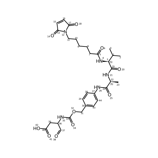 CC(C)[C@H](NC(=O)CCCCCN1C(=O)C=CC1=O)C(=O)N[C@@H](C)C(=O)Nc1ccc(COC(=O)NC(C=O)CC(=O)O)cc1